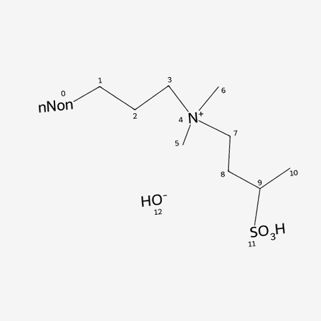 CCCCCCCCCCCC[N+](C)(C)CCC(C)S(=O)(=O)O.[OH-]